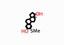 CSc1cc2c(cc1O)CCC1C2CC[C@@]2(C)C1CC[C@@H]2O